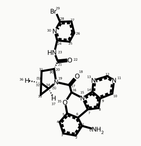 Nc1cccc2c1-c1cc3cncnc3n1C(C(=O)N1[C@@H](C(=O)Nc3cccc(Br)n3)C[C@@H]3C[C@@H]31)O2